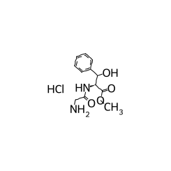 COC(=O)[C@@H](NC(=O)CN)C(O)c1ccccc1.Cl